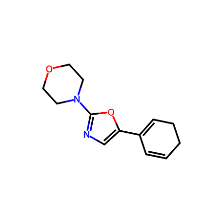 C1=CC(c2cnc(N3CCOCC3)o2)=CCC1